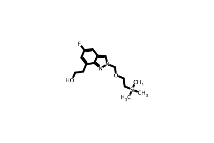 C[Si](C)(C)CCOCn1cc2cc(F)cc(CCO)c2n1